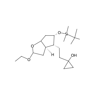 CCOC1C[C@H]2C(C[C@H](O[Si](C)(C)C(C)(C)C)[C@@H]2CCC2(O)CC2)O1